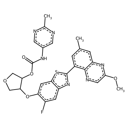 COc1cnc2c(-c3nc4cc(F)c(OC5COCC5OC(=O)Nc5cnc(C)nc5)cc4s3)cc(C)cc2n1